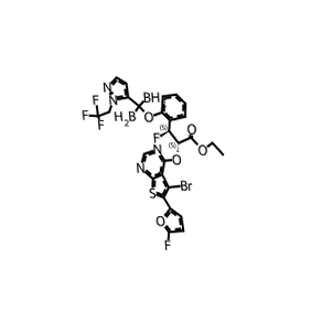 BC(B)(Oc1ccccc1[C@H](F)[C@@H](Oc1ncnc2sc(-c3ccc(F)o3)c(Br)c12)C(=O)OCC)c1ccnn1CC(F)(F)F